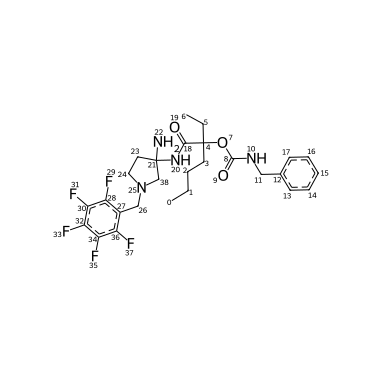 CCCCC(CC)(OC(=O)NCc1ccccc1)C(=O)NC1(N)CCN(Cc2c(F)c(F)c(F)c(F)c2F)C1